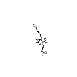 COC(=O)[C@H](CCC#CC=C(Cl)Cl)[C@@H](CCCC#C/C=C/Cl)NC(C)=O